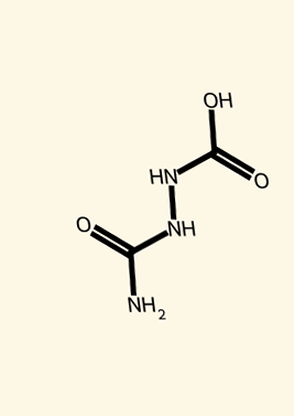 NC(=O)NNC(=O)O